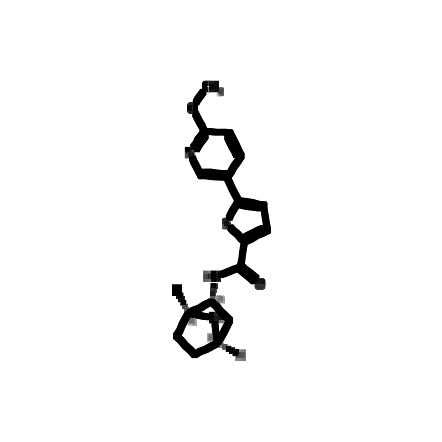 COc1ccc(-c2ccc(C(=O)N[C@@H]3C[C@H]4CC[C@@H]3N4)s2)cn1